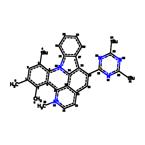 Cc1cc(C(C)(C)C)c2c(c1C)c1c3c(cc[n+]1C)cc(-c1nc(C(C)(C)C)nc(C(C)(C)C)n1)c1c4ccccc4n2c13